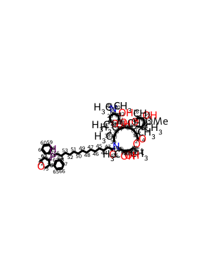 CC[C@H]1OC(=O)[C@H](C)[C@@H](C2C[C@@](C)(OC)[C@@H](O)[C@H](C)O2)[C@H](C)[C@@H](O[C@@H]2O[C@H](C)C[C@H](N(C)C)[C@H]2O)[C@](C)(O)C[C@@H](C)CN(C(=O)CCCCCCCCCCCCC[PH](c2ccccc2)(c2ccccc2)C2CCOCC2)[C@H](C)[C@@H](O)[C@]1(C)O